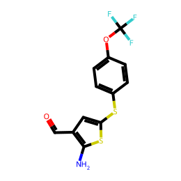 Nc1sc(Sc2ccc(OC(F)(F)F)cc2)cc1C=O